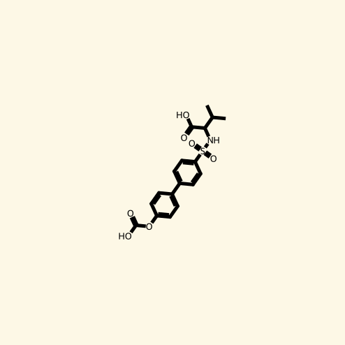 CC(C)C(NS(=O)(=O)c1ccc(-c2ccc(OC(=O)O)cc2)cc1)C(=O)O